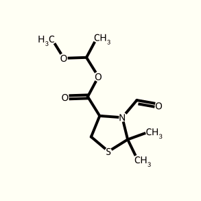 COC(C)OC(=O)C1CSC(C)(C)N1C=O